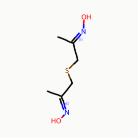 C/C(CSC/C(C)=N/O)=N\O